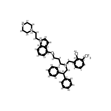 FC(F)(F)c1cccc(CN(CCCOc2cccc3c2ccn3CCN2CCSCC2)CC(c2ccccc2)c2ccccc2)c1Cl